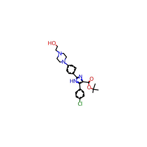 CC(C)(C)OC(=O)c1nc(-c2ccc(N3CCN(CCO)CC3)cc2)[nH]c1-c1ccc(Cl)cc1